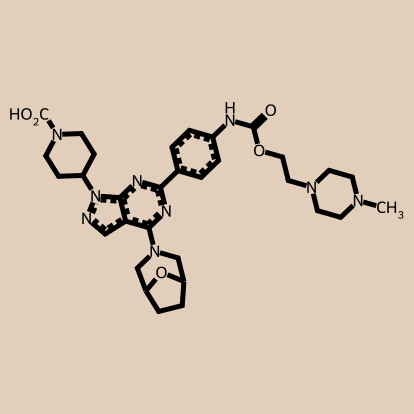 CN1CCN(CCOC(=O)Nc2ccc(-c3nc(N4CC5CCC(C4)O5)c4cnn(C5CCN(C(=O)O)CC5)c4n3)cc2)CC1